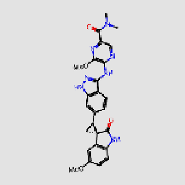 COc1ccc2c(c1)[C@]1(C[C@H]1c1ccc3c(Nc4ncc(C(=O)N(C)C)nc4OC)n[nH]c3c1)C(=O)N2